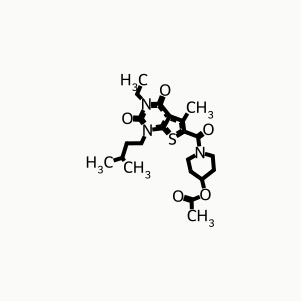 CCn1c(=O)c2c(C)c(C(=O)N3CCC(OC(C)=O)CC3)sc2n(CCC(C)C)c1=O